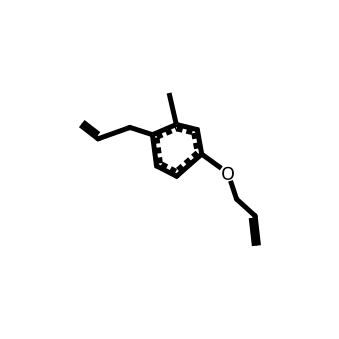 C=CCOc1ccc(CC=C)c(C)c1